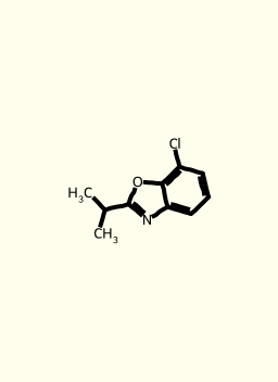 CC(C)c1nc2cccc(Cl)c2o1